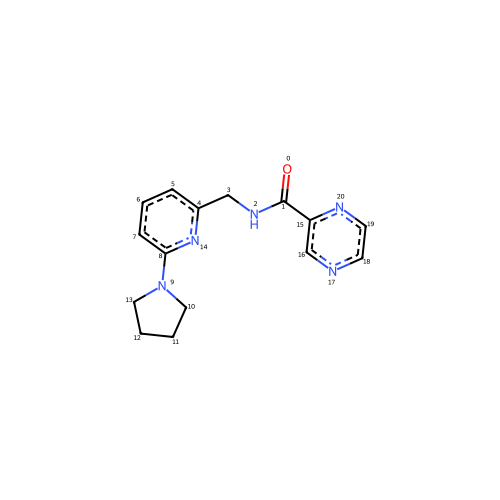 O=C(NCc1cccc(N2CCCC2)n1)c1cnccn1